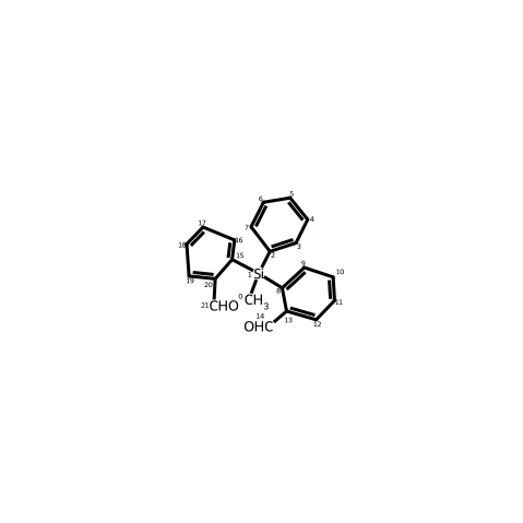 C[Si](c1ccccc1)(c1ccccc1C=O)c1ccccc1C=O